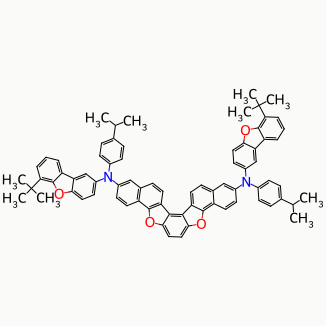 CC(C)c1ccc(N(c2ccc3c(ccc4c3oc3ccc5oc6c7ccc(N(c8ccc(C(C)C)cc8)c8ccc9oc%10c(C(C)(C)C)cccc%10c9c8)cc7ccc6c5c34)c2)c2ccc3oc4c(C(C)(C)C)cccc4c3c2)cc1